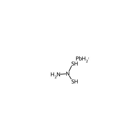 NN(S)S.[PbH2]